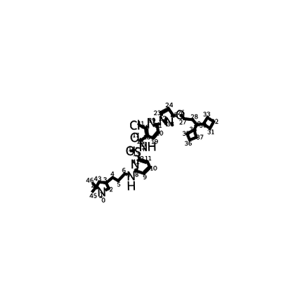 CN1CC(CCCNc2cccc([S+]([O-])NC(=O)c3ccc(-n4ccc(OCCC(C5CCC5)C5CCC5)n4)nc3Cl)n2)CC1(C)C